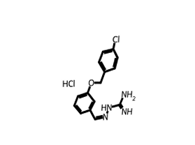 Cl.N=C(N)N/N=C\c1cccc(OCc2ccc(Cl)cc2)c1